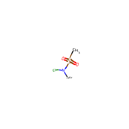 CCCN(Cl)S(C)(=O)=O